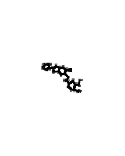 CC(C)c1ccc(NCc2cc3oc(-c4nnn[nH]4)cc3cc2Cl)cc1CF